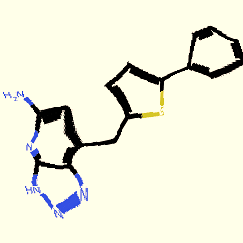 Nc1cc(Cc2ccc(-c3ccccc3)s2)c2nn[nH]c2n1